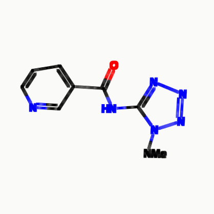 CNn1nnnc1NC(=O)c1cccnc1